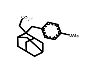 COc1ccc(CC2(CC(=O)O)C3CC4CC(C3)CC2C4)cc1